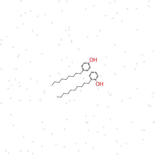 CCCCCCCCCCc1ccccc1O.CCCCCCCCCc1ccc(O)cc1